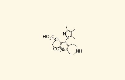 Cc1nn(-c2c(Cl)ccc3c2CCNCC3)c(C)c1C.O=C(O)CCC(=O)O